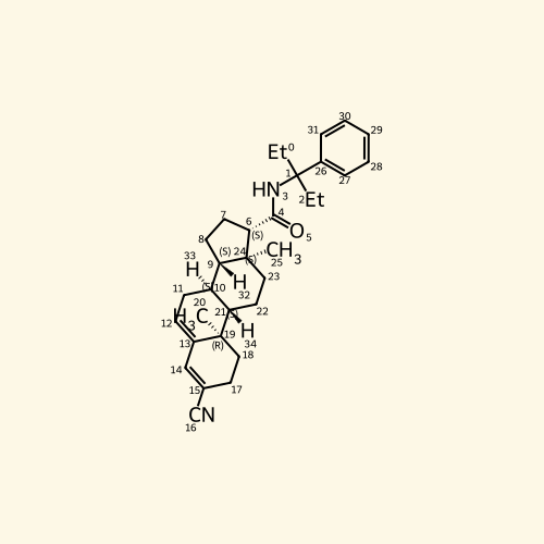 CCC(CC)(NC(=O)[C@H]1CC[C@H]2[C@@H]3CC=C4C=C(C#N)CC[C@]4(C)[C@H]3CC[C@]12C)c1ccccc1